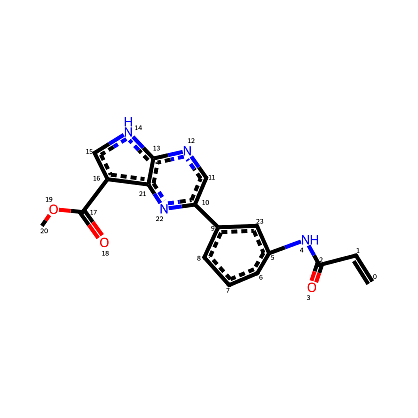 C=CC(=O)Nc1cccc(-c2cnc3[nH]cc(C(=O)OC)c3n2)c1